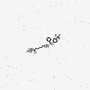 O=C(CCCCCNCC[C@@H](Oc1ccc(C(F)(F)F)cc1)c1ccccc1)NO